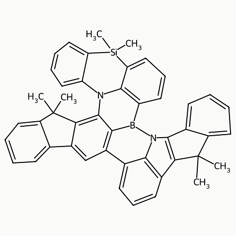 CC1(C)c2ccccc2-c2cc3c4c(c21)N1c2ccccc2[Si](C)(C)c2cccc(c21)B4n1c2c(c4cccc-3c41)C(C)(C)c1ccccc1-2